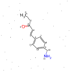 CCC(=O)C=Cc1ccc(CN)cc1